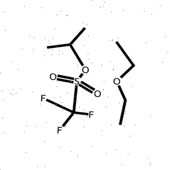 CC(C)OS(=O)(=O)C(F)(F)F.CCOCC